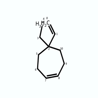 C=CC1(CC)CCC=CCC1